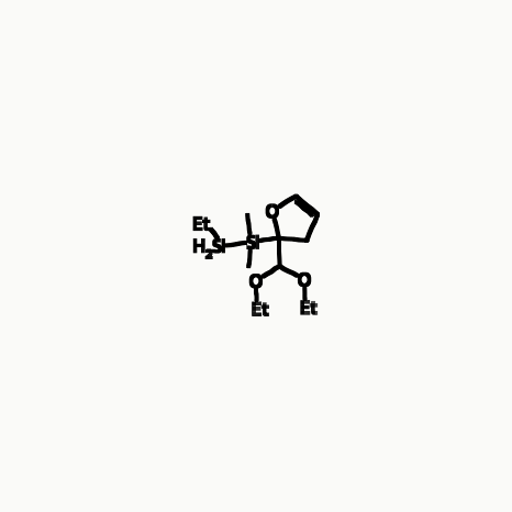 CCOC(OCC)C1([Si](C)(C)[SiH2]CC)CC=CO1